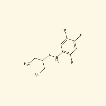 CCC(CC)O[SiH2]c1cc(F)c(F)cc1F